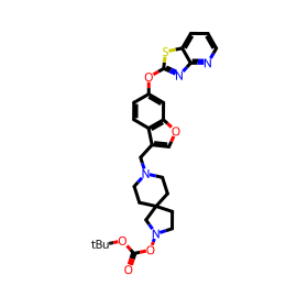 CC(C)(C)OC(=O)ON1CCC2(CCN(Cc3coc4cc(Oc5nc6ncccc6s5)ccc34)CC2)C1